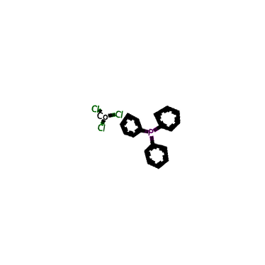 [Cl][Co]([Cl])[Cl].c1ccc(P(c2ccccc2)c2ccccc2)cc1